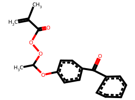 C=C(C)C(=O)OOC(C)Oc1ccc(C(=O)c2ccccc2)cc1